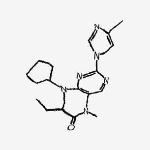 CCC1C(=O)N(C)c2cnc(-n3cnc(C)c3)nc2N1C1CCCC1